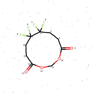 O=C1CCC(F)(F)C(F)(F)CCC(=O)OCO1